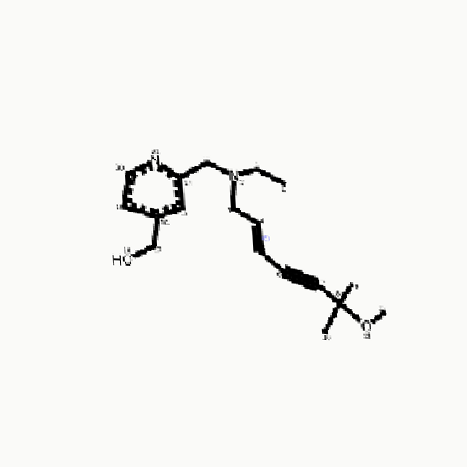 CCN(C/C=C/C#CC(C)(C)OC)Cc1cc(CO)ccn1